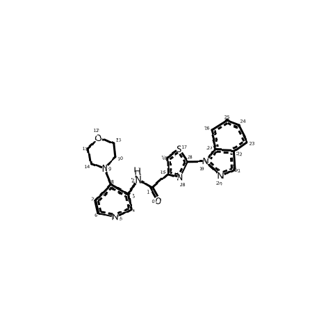 O=C(Nc1cnccc1N1CCOCC1)c1csc(-n2ncc3ccccc32)n1